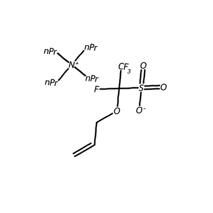 C=CCOC(F)(C(F)(F)F)S(=O)(=O)[O-].CCC[N+](CCC)(CCC)CCC